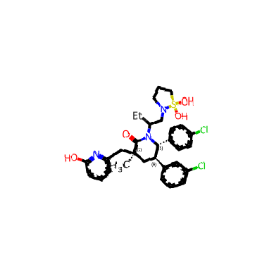 CCC(CN1CCCS1(O)O)N1C(=O)[C@](C)(Cc2cccc(O)n2)C[C@H](c2cccc(Cl)c2)[C@H]1c1ccc(Cl)cc1